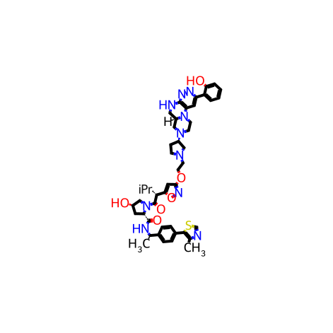 Cc1ncsc1-c1ccc([C@H](C)NC(=O)[C@@H]2C[C@@H](O)CN2C(=O)[C@@H](c2cc(OCCN3CC[C@@H](N4CCN5c6cc(-c7ccccc7O)nnc6NC[C@@H]5C4)C3)no2)C(C)C)cc1